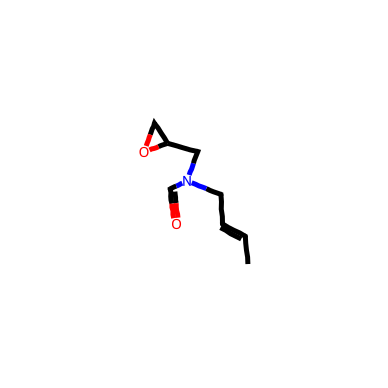 CC=CCN(C=O)CC1CO1